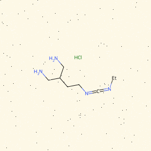 CCN=C=NCCC(CN)CN.Cl